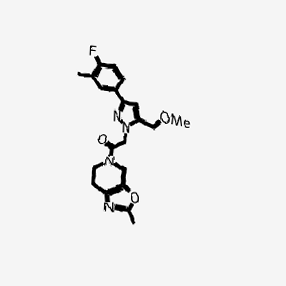 COCc1cc(-c2ccc(F)c(C)c2)nn1CC(=O)N1CCc2nc(C)oc2C1